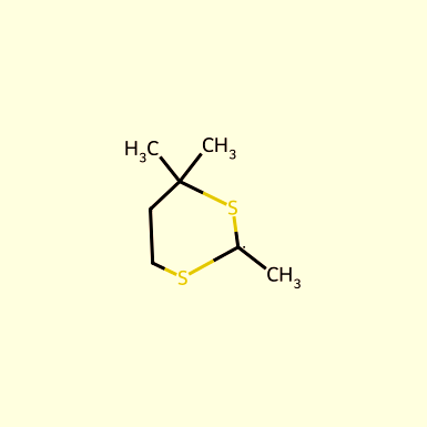 C[C]1SCCC(C)(C)S1